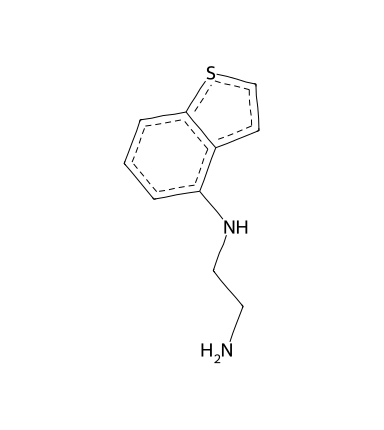 NCCNc1cccc2sccc12